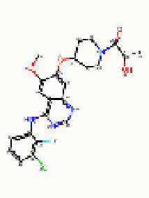 COc1cc2c(Nc3cccc(Cl)c3F)ncnc2cc1OC1CCN(C(=O)[C@H](C)O)CC1